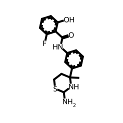 CC1(c2cccc(NC(=O)c3c(O)cccc3F)c2)CCSC(N)N1